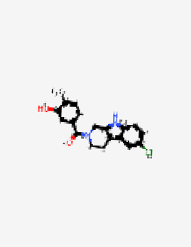 O=C(c1ccc(C(F)(F)F)c(O)c1)N1CCc2c([nH]c3ccc(Cl)cc23)C1